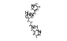 CC(CCCNCc1cccnc1)CNCc1cccnc1